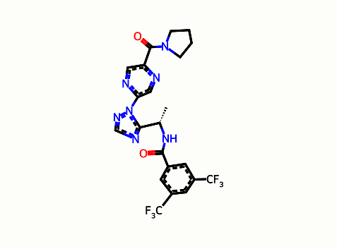 C[C@H](NC(=O)c1cc(C(F)(F)F)cc(C(F)(F)F)c1)c1ncnn1-c1cnc(C(=O)N2CCCC2)cn1